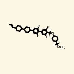 C/C=C/C1CCC(C2CCC(c3cc(F)c(-c4cc(F)c(C(F)(F)OC5CCC(C(F)(F)OC(F)(F)F)CC5)c(F)c4)c(F)c3)CC2)CC1